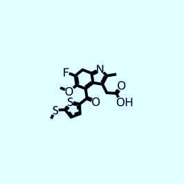 COC1=C(F)CC2=NC(C)=C(CC(=O)O)C2=C1C(=O)c1ccc(SC)s1